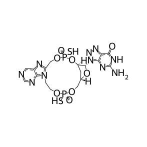 Nc1nc2c(nnn2[C@@H]2O[C@@H]3COP(=O)(S)OCCn4c(nc5cncnc54)COP(=O)(S)O[C@@H]2C3)c(=O)[nH]1